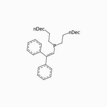 CCCCCCCCCCCCP(C=C(c1ccccc1)c1ccccc1)CCCCCCCCCCCC